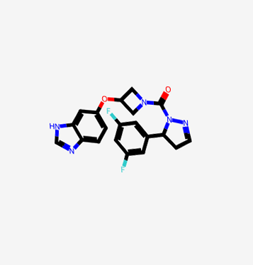 O=C(N1CC(Oc2ccc3nc[nH]c3c2)C1)N1N=CCC1c1cc(F)cc(F)c1